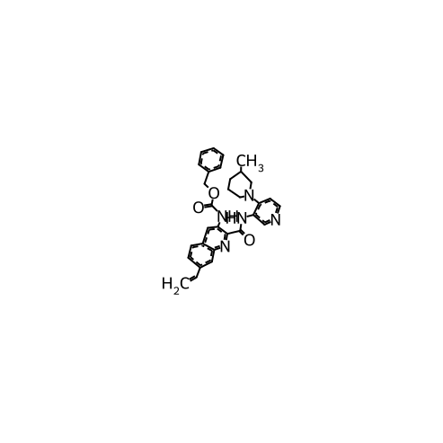 C=Cc1ccc2cc(NC(=O)OCc3ccccc3)c(C(=O)Nc3cnccc3N3CCCC(C)C3)nc2c1